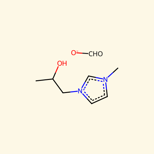 CC(O)C[n+]1ccn(C)c1.O=C[O-]